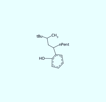 CCCCCC(CC(C)C(C)(C)C)c1ccccc1O